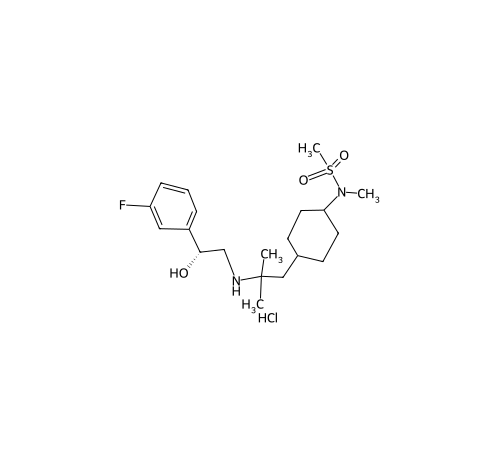 CN(C1CCC(CC(C)(C)NC[C@H](O)c2cccc(F)c2)CC1)S(C)(=O)=O.Cl